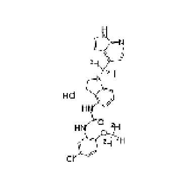 Cl.[2H]C([2H])([2H])Oc1ccc(Cl)cc1NC(=O)Nc1cccc2c1CCN2C([2H])([2H])c1ccnc2[nH]ccc12